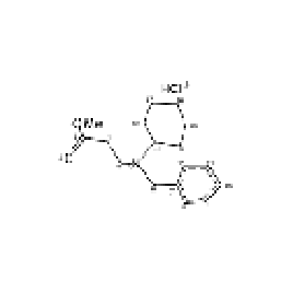 COC(=O)CCN(Cc1ccccc1)C1CCCCC1.Cl